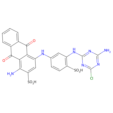 Nc1nc(Cl)nc(Nc2cc(Nc3cc(S(=O)(=O)O)c(N)c4c3C(=O)c3ccccc3C4=O)ccc2S(=O)(=O)O)n1